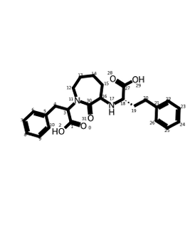 O=C(O)C(Cc1ccccc1)N1CCCCC(N[C@@H](CCc2ccccc2)C(=O)O)C1=O